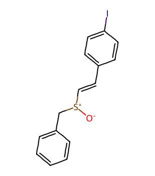 [O-][S+](/C=C/c1ccc(I)cc1)Cc1ccccc1